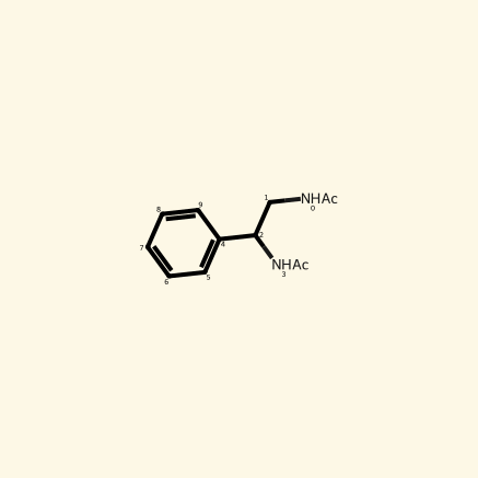 CC(=O)NCC(NC(C)=O)c1ccccc1